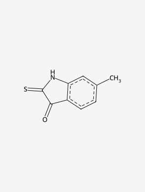 Cc1ccc2c(c1)NC(=S)C2=O